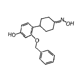 ON=C1CCC(c2ccc(O)cc2OCc2ccccc2)CC1